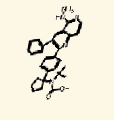 CC(C)(C)N(C(=O)O)C1(c2ccc(-c3nc4ccnc(NN)c4cc3-c3ccccc3)cc2)CCCC1